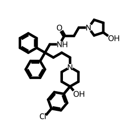 O=C(CCN1CCC(O)C1)NCC(CCCN1CCC(O)(c2ccc(Cl)cc2)CC1)(c1ccccc1)c1ccccc1